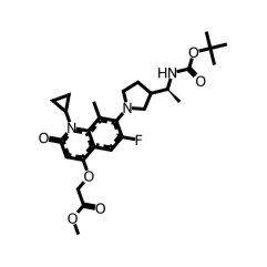 COC(=O)COc1cc(=O)n(C2CC2)c2c(C)c(N3CCC([C@H](C)NC(=O)OC(C)(C)C)C3)c(F)cc12